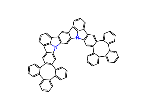 c1ccc2c(c1)-c1ccccc1-c1cc3c4cccc5c6cc7c8cccc9c%10cc%11c(cc%10n(c7cc6n(c3cc1-c1ccccc1-2)c45)c98)-c1ccccc1-c1ccccc1-c1ccccc1-%11